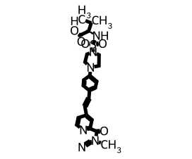 CC(C)[C@@H](NS(=O)(=O)N1CCN(c2ccc(C#Cc3ccnc(C(=O)N(C)C#N)c3)cc2)CC1)C(=O)O